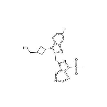 CS(=O)(=O)c1nn(Cc2nc3cc(Cl)ccc3n2[C@H]2C[C@H](CO)C2)c2cnccc12